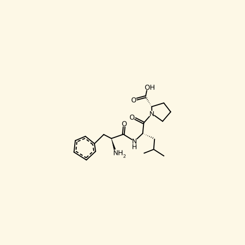 CC(C)C[C@H](NC(=O)[C@@H](N)Cc1ccccc1)C(=O)N1CCC[C@H]1C(=O)O